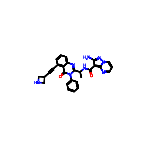 CC(NC(=O)c1c(N)nn2cccnc12)c1nc2cccc(C#CC3CNC3)c2c(=O)n1-c1ccccc1